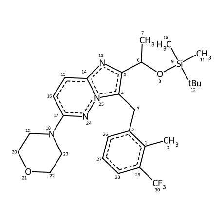 Cc1c(Cc2c(C(C)O[Si](C)(C)C(C)(C)C)nc3ccc(N4CCOCC4)nn23)cccc1C(F)(F)F